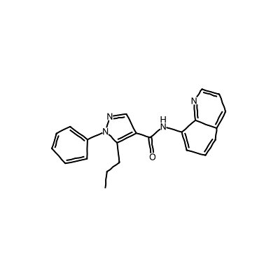 CCCc1c(C(=O)Nc2cccc3cccnc23)cnn1-c1ccccc1